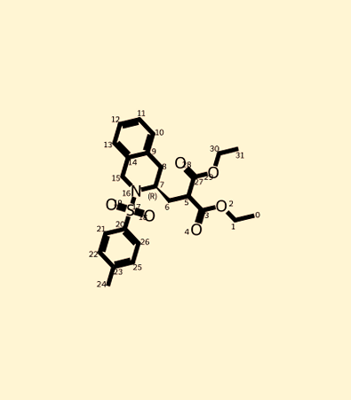 CCOC(=O)C(C[C@@H]1Cc2ccccc2CN1S(=O)(=O)c1ccc(C)cc1)C(=O)OCC